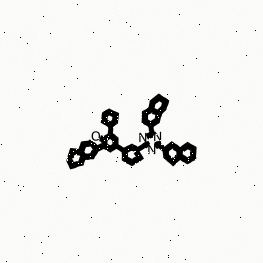 c1ccc(-c2cc(-c3cccc(-c4nc(-c5ccc6ccccc6c5)nc(-c5ccc6ccccc6c5)n4)c3)cc3c2oc2cc4ccccc4cc23)cc1